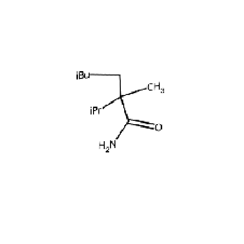 CCC(C)CC(C)(C(N)=O)C(C)C